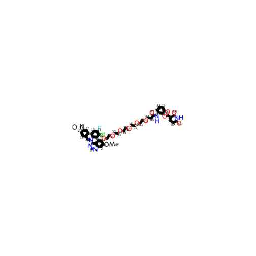 COc1cc2ncnc(N(Cc3ccc([N+](=O)[O-])cc3)c3ccc(F)c(Cl)c3)c2cc1OCCOCCOCCOCCOCCOCCC(=O)Nc1cccc2c1OC(C1CCC(=O)NC1=O)O2